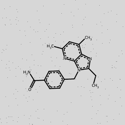 CCc1nc2c(C)cc(C)nc2n1Cc1ccc(C(N)=O)cc1